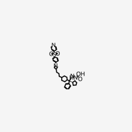 N#CC(c1ccccc1)(C1CCC(CCCC2CN(c3ccc(S(=O)(=O)c4ccncc4)cc3)C2)CC1)[C@@H]1CCC[C@H]1NC(=O)O